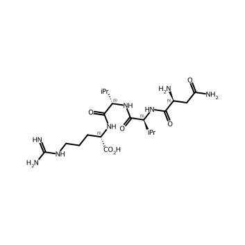 CC(C)[C@H](NC(=O)[C@@H](NC(=O)[C@@H](N)CC(N)=O)C(C)C)C(=O)N[C@@H](CCCNC(=N)N)C(=O)O